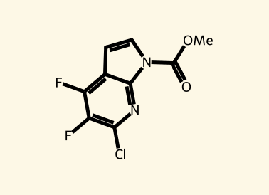 COC(=O)n1ccc2c(F)c(F)c(Cl)nc21